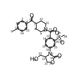 Cc1ccc(C(=O)C2CCN(C(=O)c3ccc(N4C(=O)OCC4CO)cc3S(C)(=O)=O)CC2)cc1